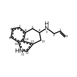 C=CCNC1Cc2cccc3[nH]cc(c23)C1